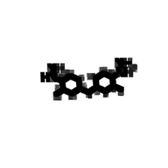 CC1CC(CC2CCC(NN)C(C)C2)CCC1NN